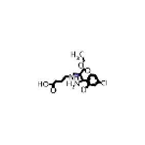 CCOC(=O)/C(=C/NCCCC(=O)O)C(N)c1ccc(Cl)cc1Cl